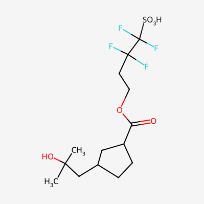 CC(C)(O)CC1CCC(C(=O)OCCC(F)(F)C(F)(F)S(=O)(=O)O)C1